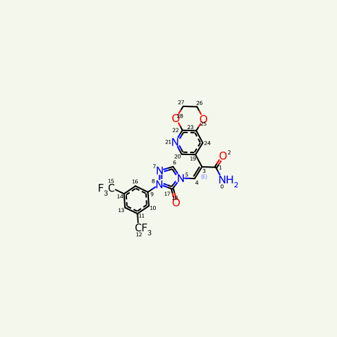 NC(=O)/C(=C/n1cnn(-c2cc(C(F)(F)F)cc(C(F)(F)F)c2)c1=O)c1cnc2c(c1)OCCO2